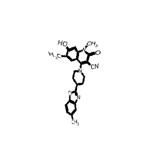 Cc1ccc2oc(C3CCN(c4c(C#N)c(=O)n(C)c5cc(O)c(C)cc45)CC3)nc2c1